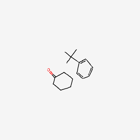 CC(C)(C)c1ccccc1.O=C1CCCCC1